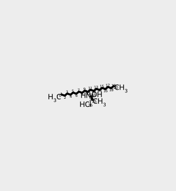 CCCCCCCCCCC(CCCCCCCCCC)NC(O)CC.Cl